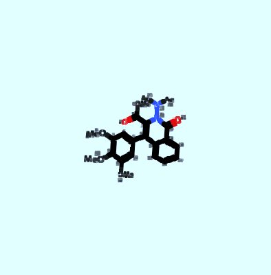 COC(=O)c1c(-c2cc(OC)c(OC)c(OC)c2)c2ccccc2c(=O)n1N(C(C)=O)C(C)=O